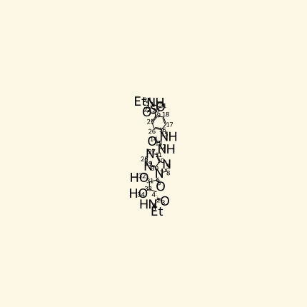 CCNC(=O)[C@H]1O[C@@H](n2cnc3c(NC(=O)Nc4ccc(S(=O)(=O)NCC)cc4)ncnc32)C(O)C1O